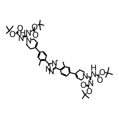 Cc1cc(C2=CCN(/C(=N\C(=O)OC(C)(C)C)NC(=O)OC(C)(C)C)CC2)ccc1-c1nnc(-c2ccc(C3=CCN(/C(=N/C(=O)OC(C)(C)C)NC(=O)OC(C)(C)C)CC3)cc2C)n1C